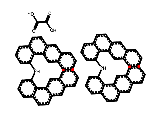 O=C(O)C(=O)O.c1ccc2cc3c(ccc4cccc(Pc5cccc6ccc7cc8ccccc8cc7c56)c43)cc2c1.c1ccc2cc3c(ccc4cccc(Pc5cccc6ccc7cc8ccccc8cc7c56)c43)cc2c1